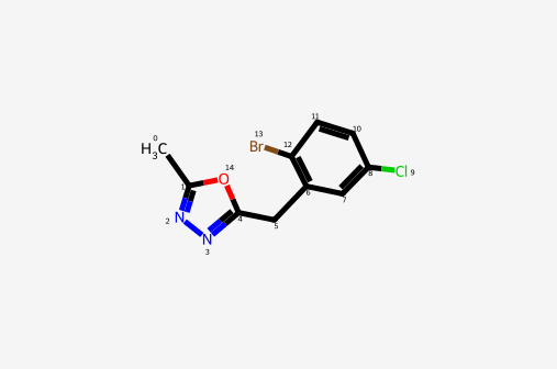 Cc1nnc(Cc2cc(Cl)ccc2Br)o1